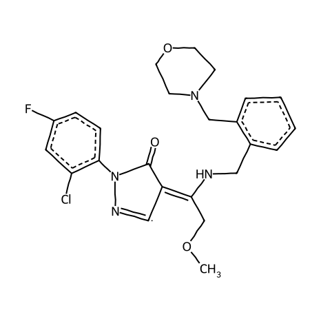 COCC(NCc1ccccc1CN1CCOCC1)=C1[C]=NN(c2ccc(F)cc2Cl)C1=O